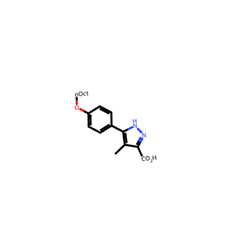 CCCCCCCCOc1ccc(-c2[nH]nc(C(=O)O)c2C)cc1